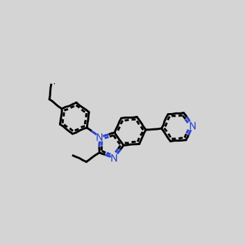 [CH2]Cc1ccc(-n2c(CC)nc3cc(-c4ccncc4)ccc32)cc1